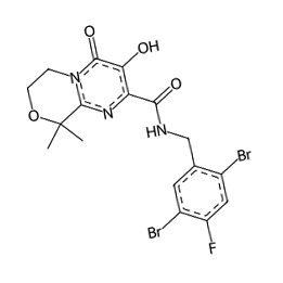 CC1(C)OCCn2c1nc(C(=O)NCc1cc(Br)c(F)cc1Br)c(O)c2=O